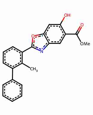 COC(=O)c1cc2nc(-c3cccc(-c4ccccc4)c3C)oc2cc1O